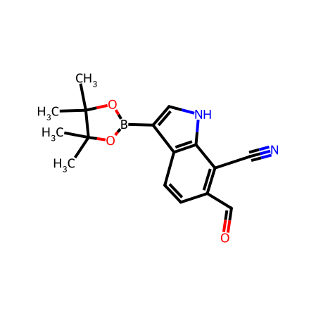 CC1(C)OB(c2c[nH]c3c(C#N)c(C=O)ccc23)OC1(C)C